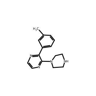 Cc1cccc(-c2nccnc2N2CCNCC2)c1